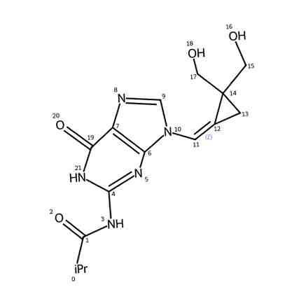 CC(C)C(=O)Nc1nc2c(ncn2/C=C2/CC2(CO)CO)c(=O)[nH]1